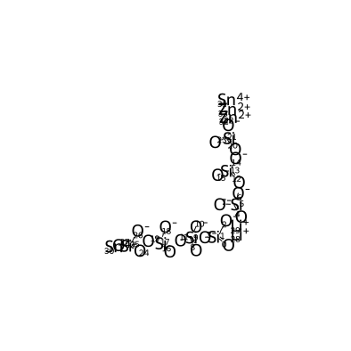 O=[Si]([O-])[O-].O=[Si]([O-])[O-].O=[Si]([O-])[O-].O=[Si]([O-])[O-].O=[Si]([O-])[O-].O=[Si]([O-])[O-].O=[Si]([O-])[O-].[Li+].[Li+].[Sn+4].[Sn+4].[Zn+2].[Zn+2]